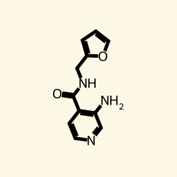 Nc1cnccc1C(=O)NCc1ccco1